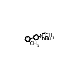 C/C=C\N(CCCC)c1ccc(-c2ccccc2C)cc1